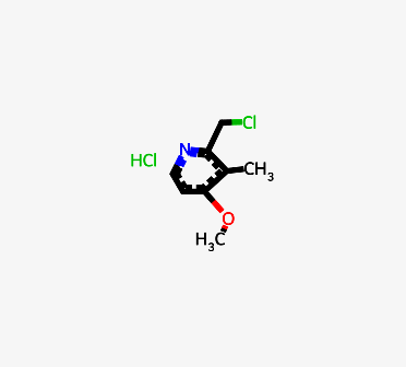 COc1ccnc(CCl)c1C.Cl